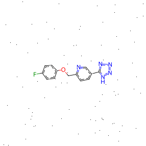 Fc1ccc(OCc2ccc(-c3nnn[nH]3)cn2)cc1